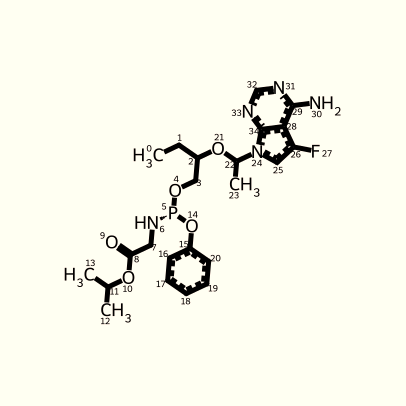 CCC(CO[P@@](NCC(=O)OC(C)C)Oc1ccccc1)OC(C)n1cc(F)c2c(N)ncnc21